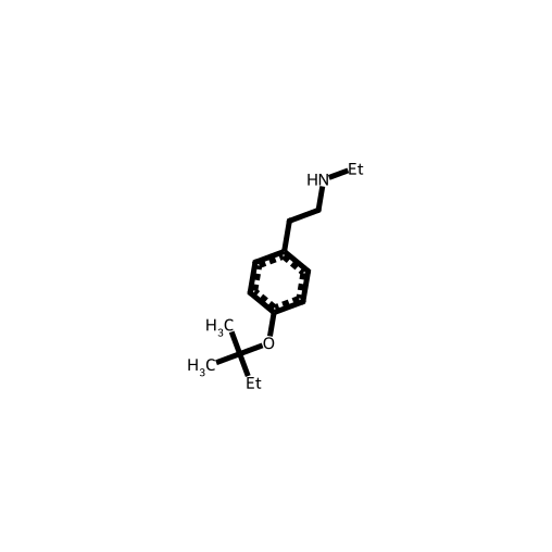 CCNCCc1ccc(OC(C)(C)CC)cc1